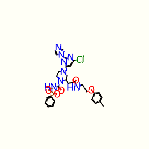 Cc1ccc(OCCNC(=O)CC2CN(c3cc(Cl)nc(-n4ccnc4)n3)CCN2C(=O)NS(=O)(=O)c2ccccc2)cc1